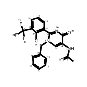 CC(=O)Nc1cn(Cc2ccccc2)c(-c2cccc(C(F)(F)F)c2Cl)nc1=O